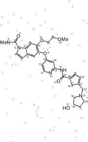 CNC(=O)n1ccc2cc(Oc3ccnc(NC(=O)c4ccc(CN5CC[C@H](O)C5)s4)c3)c(OCCOC)cc21